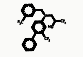 OC(CN(Cc1cccc(C(F)(F)F)c1)c1ccc(-c2ccccc2)c(C(F)(F)F)c1)C(F)(F)F